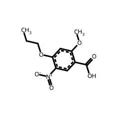 CCCOc1cc(OC)c(C(=O)O)cc1[N+](=O)[O-]